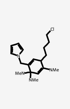 CNC1=CC(NC)(NC)C(Cn2cccc2)=CC1CCCCCl